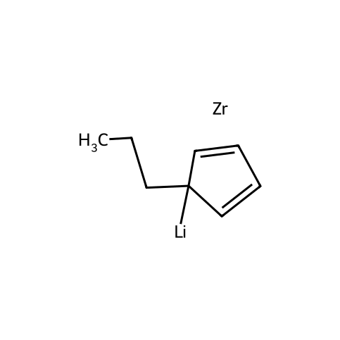 [Li][C]1(CCC)C=CC=C1.[Zr]